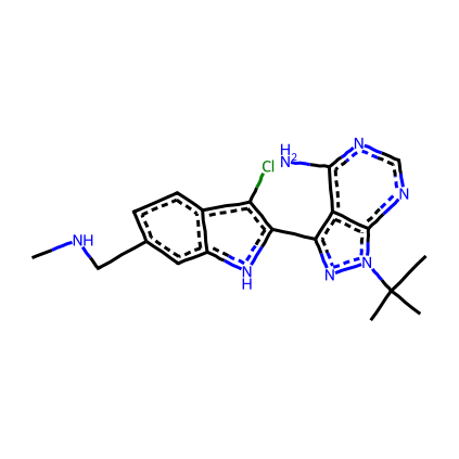 CNCc1ccc2c(Cl)c(-c3nn(C(C)(C)C)c4ncnc(N)c34)[nH]c2c1